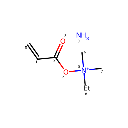 C=CC(=O)O[N+](C)(C)CC.N